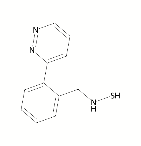 SNCc1ccccc1-c1cccnn1